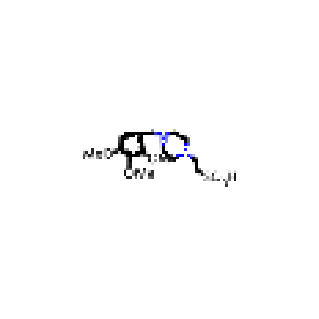 COc1ccc(CN2CCN(CCS(=O)(=O)O)CC2)c(OC)c1OC